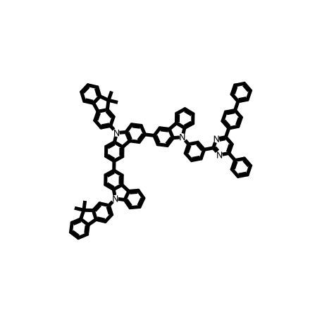 CC1(C)c2ccccc2-c2ccc(-n3c4ccccc4c4cc(-c5ccc6c(c5)c5cc(-c7ccc8c(c7)c7ccccc7n8-c7cccc(-c8nc(-c9ccccc9)cc(-c9ccc(-c%10ccccc%10)cc9)n8)c7)ccc5n6-c5ccc6c(c5)C(C)(C)c5ccccc5-6)ccc43)cc21